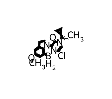 Bc1cc(OC)cc2c1N(c1nc(Cl)cn([C@@H](CC)C3CC3)c1=O)CC2